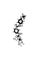 CC(C)(C)OC(=O)N[C@@H]1CCCN(C(=O)Nc2ccc(OC(F)(F)F)cc2)C1